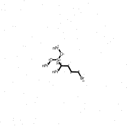 CCCO[SiH](OCCC)C(CCC)CCCBr